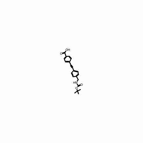 CC(C)(C)OC(=O)NCc1ccc(C#Cc2ccc(C(=O)O)cc2)cc1